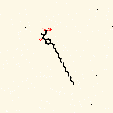 CCCCCCCCCCCCCCCCCCc1ccc(C(=O)C(C)=CC(=O)O)cc1